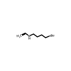 C=CNCCCCCCCC